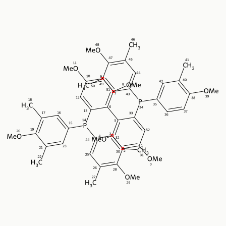 COc1cc(OC)c(-c2c(OC)cc(OC)cc2P(c2cc(C)c(OC)c(C)c2)c2cc(C)c(OC)c(C)c2)c(P(c2ccc(OC)c(C)c2)c2cc(C)c(OC)c(C)c2)c1